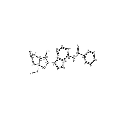 [N-]=[N+]=N[C@]1(CI)O[C@@H](c2ccc3c(NC(=O)c4ccccc4)ncnn23)[C@H](F)[C@@H]1O